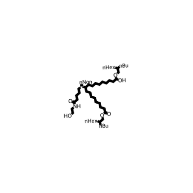 CCCCCCCCCN(CCCCC(=O)NCCO)C(CCCCCCCCC(=O)OCC(CCCC)CCCCCC)CCCCCCCCC(O)OCC(CCCC)CCCCCC